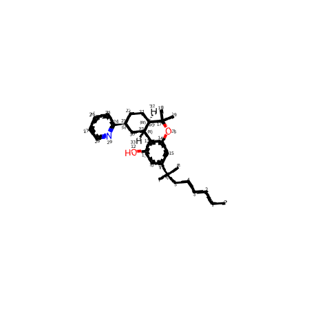 CCCCCCC(C)(C)c1cc(O)c2c(c1)OC(C)(C)[C@@H]1CC[C@H](c3ccccn3)C[C@@H]21